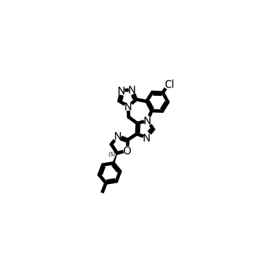 Cc1ccc([C@H]2CN=C(c3ncn4c3Cn3cnnc3-c3cc(Cl)ccc3-4)O2)cc1